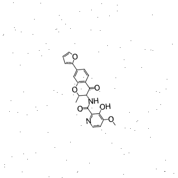 COc1ccnc(C(=O)NC2C(=O)c3ccc(-c4ccco4)cc3OC2C)c1O